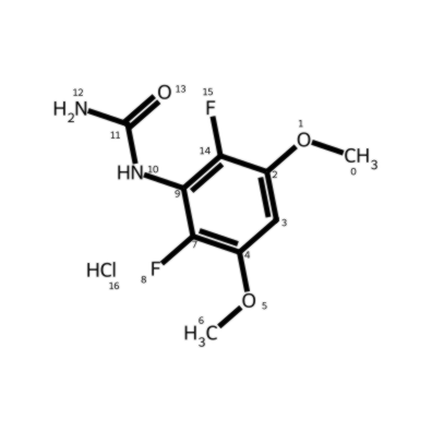 COc1cc(OC)c(F)c(NC(N)=O)c1F.Cl